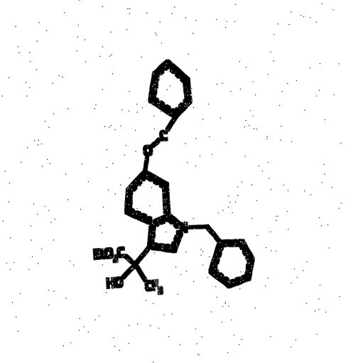 CCOC(=O)C(O)(c1cn(Cc2ccccc2)c2cc(OCc3ccccc3)ccc12)C(F)(F)F